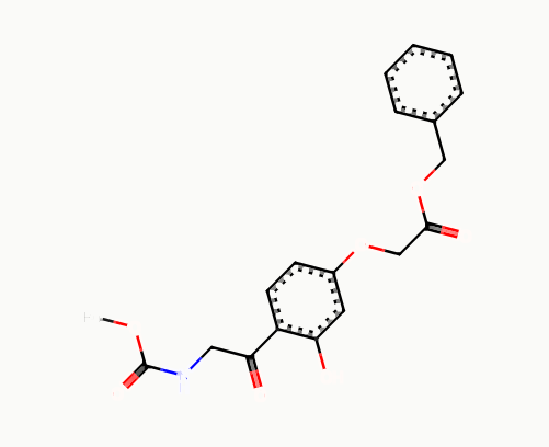 CC(C)(C)OC(=O)NCC(=O)c1ccc(OCC(=O)OCc2ccccc2)cc1O